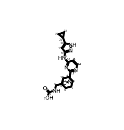 O=C(O)NCC12CCC(CC1)N(c1nccc(Nc3cc(C4CC4)[nH]n3)n1)C2